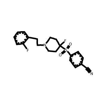 N#Cc1ccc(S(=O)(=O)C2(F)CCN(CCc3ccccc3F)CC2)cc1